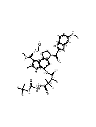 COC(=O)c1c(C)[nH]c2c(OC(=O)N(C)C(C)(C)C(=O)NNC(=O)OC(C)(C)C)cc3c(c12)[C@H](CCl)CN3C(=O)c1cc2cc(OC)ccc2o1